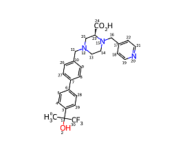 CC(O)(c1ccc(-c2ccc(CN3CCN(Cc4ccncc4)[C@H](C(=O)O)C3)cc2)cc1)C(F)(F)F